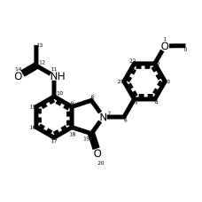 COc1ccc(CN2Cc3c(NC(C)=O)cccc3C2=O)cc1